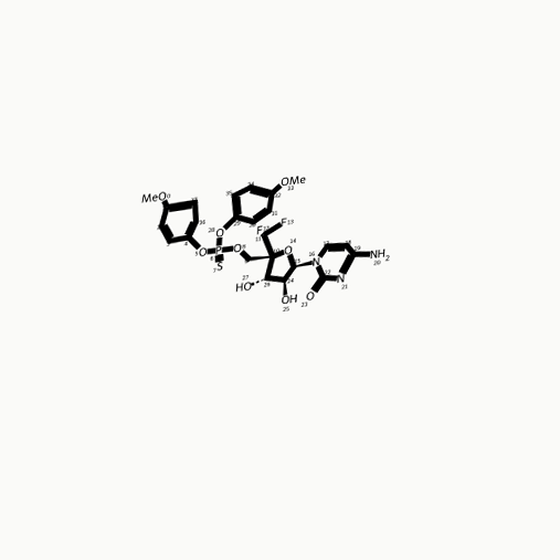 COc1ccc(OP(=S)(OC[C@@]2(C(F)F)O[C@@H](n3ccc(N)nc3=O)[C@@H](O)[C@@H]2O)Oc2ccc(OC)cc2)cc1